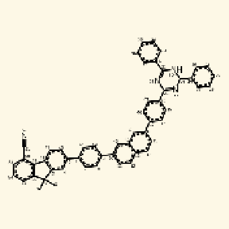 CC1(C)c2cc(-c3ccc(-c4ccc5ccc(-c6ccc(C7=NC(c8ccccc8)NC(c8ccccc8)=N7)cc6)cc5c4)cc3)ccc2-c2c(C#N)cccc21